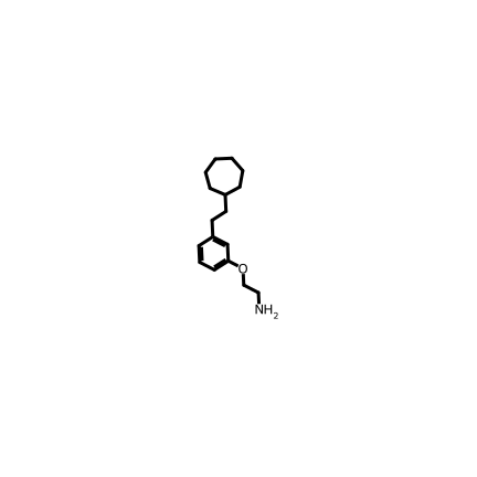 NCCOc1cccc(CCC2CCCCCC2)c1